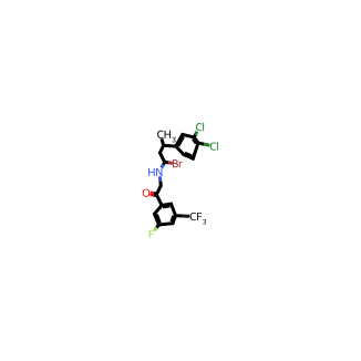 CC(CC(Br)NCC(=O)c1cc(F)cc(C(F)(F)F)c1)c1ccc(Cl)c(Cl)c1